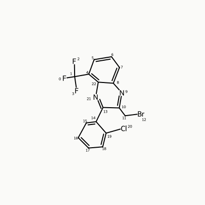 FC(F)(F)c1cccc2nc(CBr)c(-c3ccccc3Cl)nc12